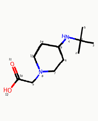 CC(C)(C)NC1CCN(CC(=O)O)CC1